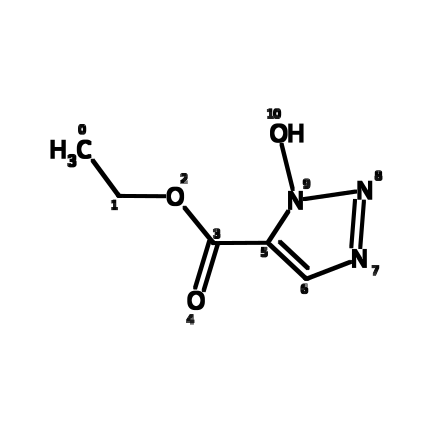 CCOC(=O)c1cnnn1O